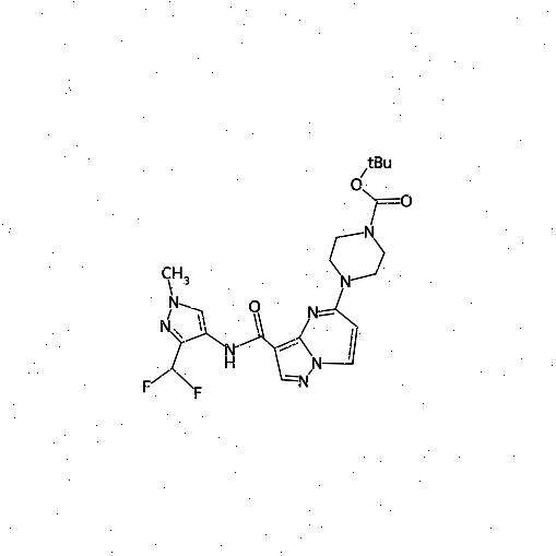 Cn1cc(NC(=O)c2cnn3ccc(N4CCN(C(=O)OC(C)(C)C)CC4)nc23)c(C(F)F)n1